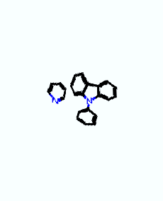 c1ccc(-n2c3ccccc3c3ccccc32)cc1.c1ccncc1